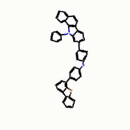 c1ccc(-n2c3cc(-c4ccc(Nc5ccc(-c6cccc7c6sc6ccccc67)cc5)cc4)ccc3c3ccc4ccccc4c32)cc1